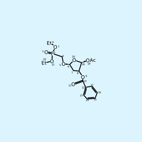 CCOP(=O)(CO[C@@H]1CC(OC(=O)c2ccccc2)[C@H](OC(C)=O)O1)OCC